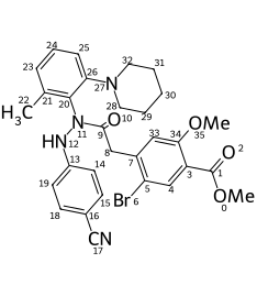 COC(=O)c1cc(Br)c(CC(=O)N(Nc2ccc(C#N)cc2)c2c(C)cccc2N2CCCCC2)cc1OC